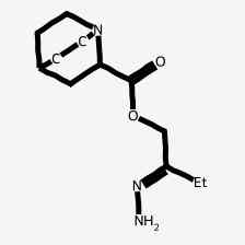 CCC(COC(=O)C1[CH]C2CCN1CC2)=NN